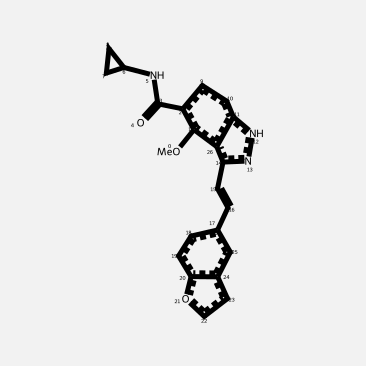 COc1c(C(=O)NC2CC2)ccc2[nH]nc(/C=C/c3ccc4occc4c3)c12